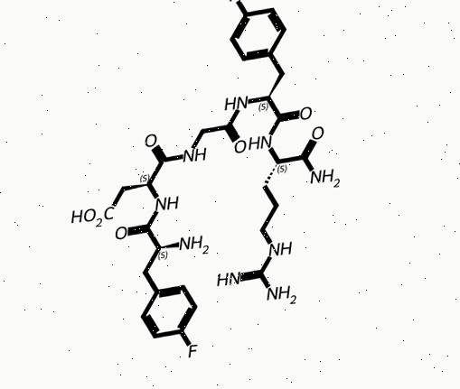 N=C(N)NCCC[C@H](NC(=O)[C@H](Cc1ccc(F)cc1)NC(=O)CNC(=O)[C@H](CC(=O)O)NC(=O)[C@@H](N)Cc1ccc(F)cc1)C(N)=O